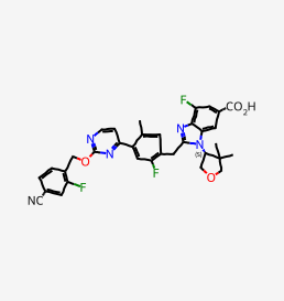 Cc1cc(Cc2nc3c(F)cc(C(=O)O)cc3n2[C@@H]2COCC2(C)C)c(F)cc1-c1ccnc(OCc2ccc(C#N)cc2F)n1